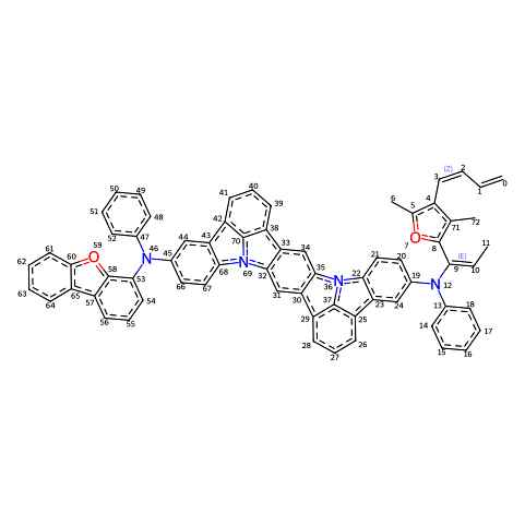 C=C/C=C\c1c(C)oc(/C(=C\C)N(c2ccccc2)c2ccc3c(c2)c2cccc4c5cc6c(cc5n3c24)c2cccc3c4cc(N(c5ccccc5)c5cccc7c5oc5ccccc57)ccc4n6c32)c1C